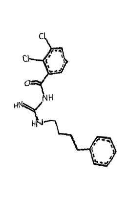 N=C(NCCCCc1ccccc1)NC(=O)c1cccc(Cl)c1Cl